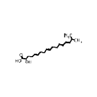 CC(C)CCCCCCCCCCCCCCC(O)C(=O)O